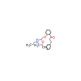 CCCNCC(COc1ccccc1C(=O)CCc1ccccc1)OC(C)C